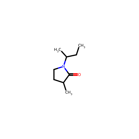 CCC(C)N1CCC(C)C1=O